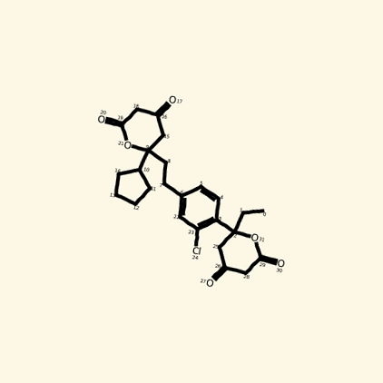 CCC1(c2ccc(CCC3(C4CCCC4)CC(=O)CC(=O)O3)cc2Cl)CC(=O)CC(=O)O1